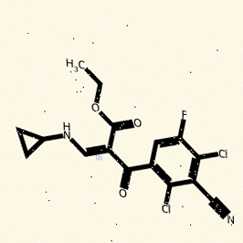 CCOC(=O)/C(=C\NC1CC1)C(=O)c1cc(F)c(Cl)c(C#N)c1Cl